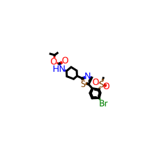 CC(C)OC(=O)NC1CCC(c2ncc(-c3ccc(Br)cc3S(C)(=O)=O)s2)CC1